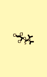 CC(C)N(C(=S)OC(Cl)C(Cl)=CCl)C(C)C